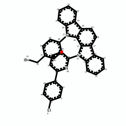 CCc1ccc(-c2cccc(-n3c4ccccc4c4ccc5c6ccccc6n(-c6ccc(CC(C)CC)cc6)c5c43)n2)cc1